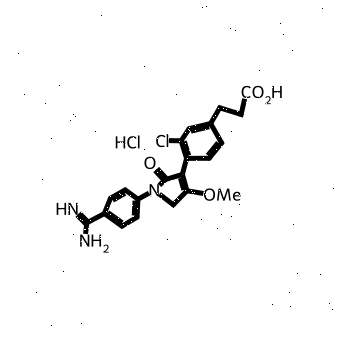 COC1=C(c2ccc(CCC(=O)O)cc2Cl)C(=O)N(c2ccc(C(=N)N)cc2)C1.Cl